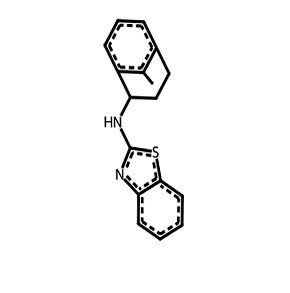 Cc1c2cccc1C(Nc1nc3ccccc3s1)CC2